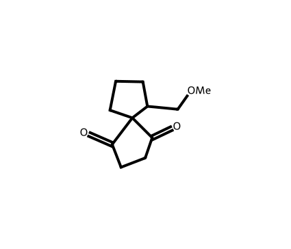 COCC1CCCC12C(=O)CCC2=O